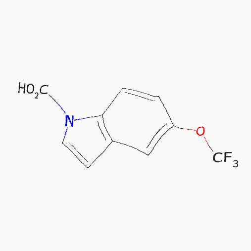 O=C(O)n1ccc2cc(OC(F)(F)F)ccc21